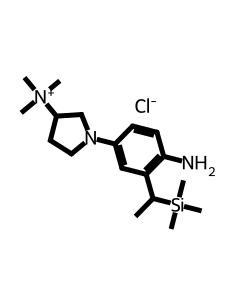 CC(c1cc(N2CCC([N+](C)(C)C)C2)ccc1N)[Si](C)(C)C.[Cl-]